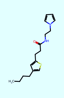 CCCCc1csc(CCC(=O)NCCn2cccc2)c1